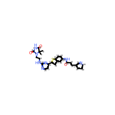 CC1(C)C(=O)NC(=O)N1CCNc1nccc(-c2cc3cc(NC(=O)C=Cc4cccnc4)ccc3s2)n1